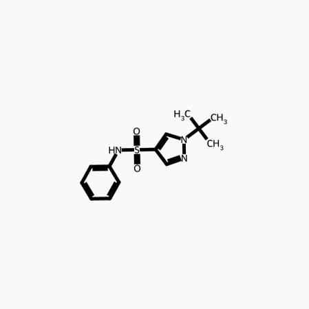 CC(C)(C)n1cc(S(=O)(=O)Nc2ccccc2)cn1